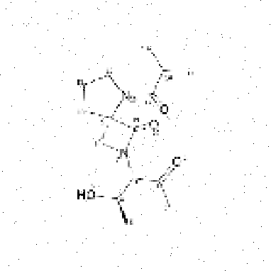 CC(=O)[C@H]([C@@H](C)O)N1C[C@@]2(CCCN2C(=O)C(C)C)C1=O